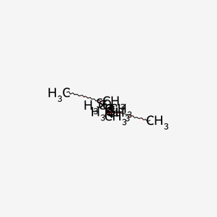 CCCCCCCCCCCCCCCCCC[Si](C)(C)OCC(CN(C)C)O[Si](C)(C)CCCCCCCCCCCCCCCCCC